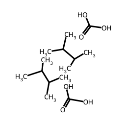 CC(C)C(C)C.CC(C)C(C)C.O=C(O)O.O=C(O)O